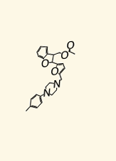 CC(=O)OCC1c2ccccc2OC1c1ccc(CN2CCN(c3ccc(C)cc3)CC2)o1